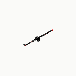 CCCCCCC=CCCCCCCCCCCCC(=O)OCCCCCCCCCCCCCCCC(C)CC